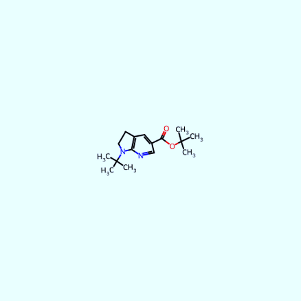 CC(C)(C)OC(=O)c1cnc2c(c1)CCN2C(C)(C)C